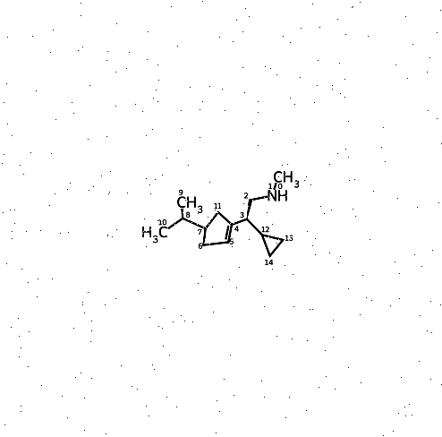 CNC[C@H](C1=CCC(C(C)C)C1)C1CC1